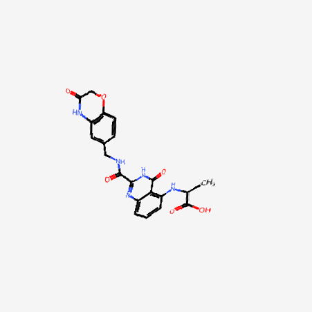 CC(Nc1cccc2nc(C(=O)NCc3ccc4c(c3)NC(=O)CO4)[nH]c(=O)c12)C(=O)O